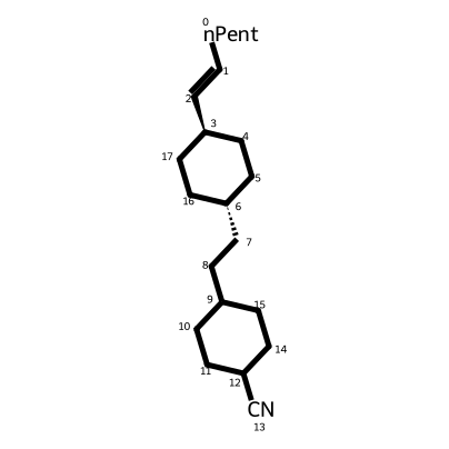 CCCCC/C=C/[C@H]1CC[C@H](CCC2CCC(C#N)CC2)CC1